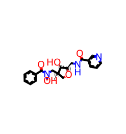 C[C@@]1(CN(O)C(=O)c2ccccc2)CO[C@H](CNC(=O)c2cccnc2)[C@H]1O